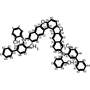 Cc1ccccc1N(c1ccc2cc3c(cc2c1)oc1ccc2oc4cc5cc(N(c6ccccc6C)c6cc(-c7ccccc7)ccc6C)ccc5cc4c2c13)c1cc(-c2ccccc2)ccc1C